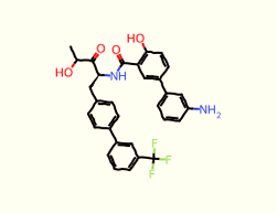 CC(O)C(=O)[C@H](Cc1ccc(-c2cccc(C(F)(F)F)c2)cc1)NC(=O)c1cc(-c2cccc(N)c2)ccc1O